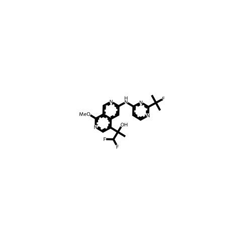 COc1ncc(C(C)(O)C(F)F)c2cc(Nc3ccnc(C(C)(C)F)n3)ncc12